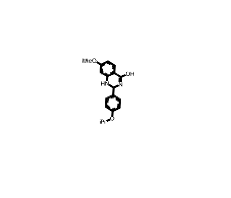 COc1ccc2c(c1)NC(c1ccc(OC(C)C)cc1)N=C2O